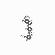 COc1cc(S(=O)(=O)Nc2ccc(Oc3ccnc4cc(OC)c(OC)cc34)c(F)c2)ccc1F